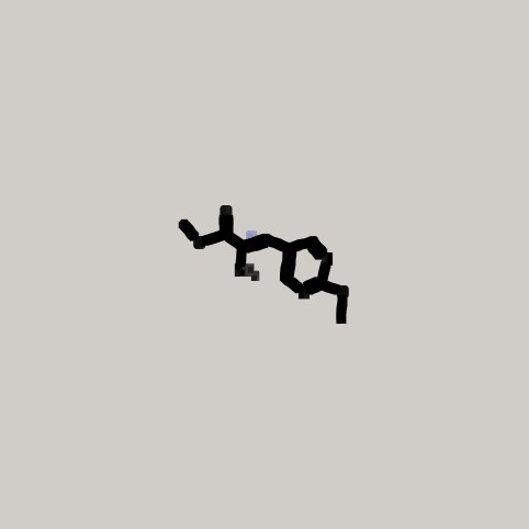 COC(=O)/C(N)=C/c1cnc(OC)nc1